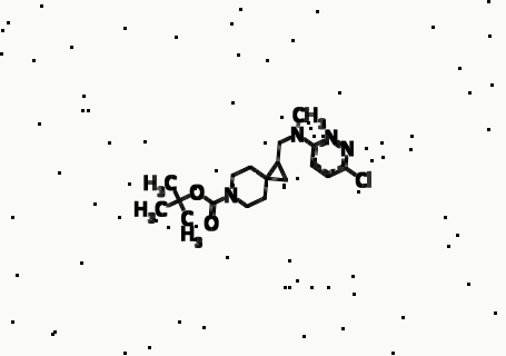 CN(CC1CC12CCN(C(=O)OC(C)(C)C)CC2)c1ccc(Cl)nn1